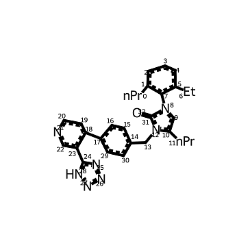 CCCc1cccc(CC)c1-n1cc(CCC)n(Cc2ccc(-c3ccncc3-c3nnn[nH]3)cc2)c1=O